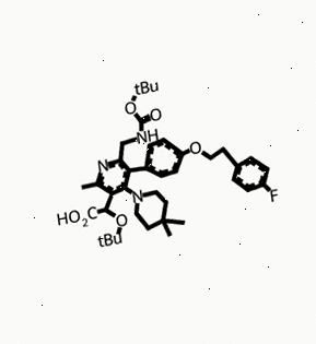 Cc1nc(CNC(=O)OC(C)(C)C)c(-c2ccc(OCCc3ccc(F)cc3)cc2)c(N2CCC(C)(C)CC2)c1C(OC(C)(C)C)C(=O)O